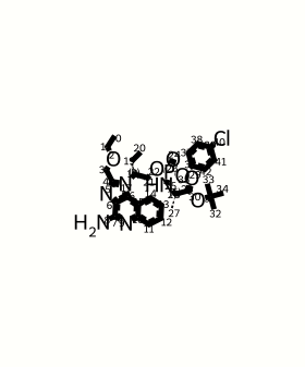 CCOCc1nc2c(N)nc3ccccc3c2n1[C@H](CC)COP(=O)(N[C@@H](C)C(=O)OC(C)(C)C)Oc1ccc(Cl)cc1